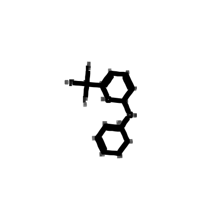 FC(F)(F)C1=CC=CC(OC2=CC=CCC2)O1